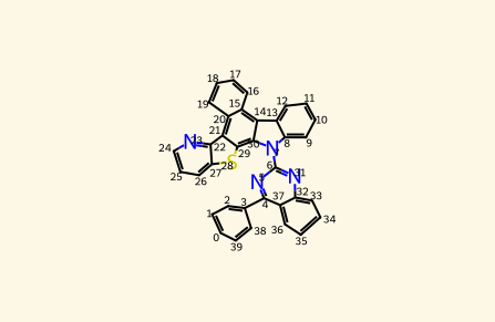 c1ccc(-c2nc(-n3c4ccccc4c4c5ccccc5c5c6ncccc6sc5c43)nc3ccccc23)cc1